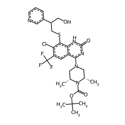 C[C@@H]1CN(c2nc(=O)[nH]c3c(SCC(CO)c4cccnc4)c(Cl)c(C(F)(F)F)cc23)C[C@H](C)N1C(=O)OC(C)(C)C